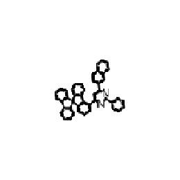 c1ccc(-c2nc(-c3ccc4ccccc4c3)cc(-c3cccc4c3-c3ccccc3C43c4ccccc4-c4ccccc43)n2)cc1